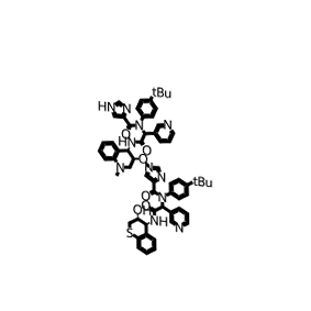 CN1C[C@H](On2cnc(C(=O)N(c3ccc(C(C)(C)C)cc3)C(C(=O)N[C@@H]3c4ccccc4SC[C@@H]3O)c3cccnc3)c2)[C@@H](NC(=O)C(c2cccnc2)N(C(=O)c2c[nH]cn2)c2ccc(C(C)(C)C)cc2)c2ccccc21